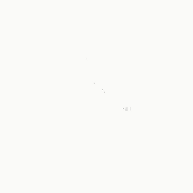 CCO[SiH](OCC)N1CCNCC1